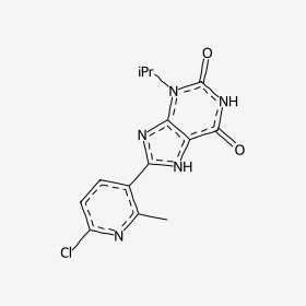 Cc1nc(Cl)ccc1-c1nc2c([nH]1)c(=O)[nH]c(=O)n2C(C)C